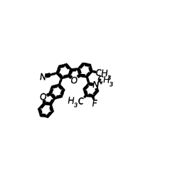 Cc1cc(-c2c(C)ccc3c2oc2c(-c4ccc5c(c4)oc4ccccc45)c(C#N)ccc23)[n+](C)cc1F